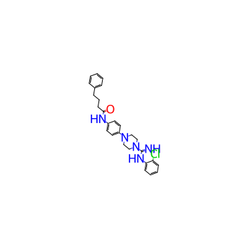 N=C(Nc1ccccc1Cl)N1CCN(c2ccc(NC(=O)CCCc3ccccc3)cc2)CC1